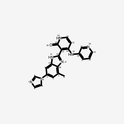 Cc1cc(-n2ccnc2)cc2[nH]c(-c3c(Nc4cccnc4)cc[nH]c3=O)nc12